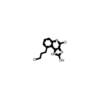 Oc1nc2c(Cl)nc3cccc(CCCCl)c3c2[nH]1